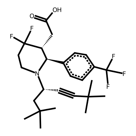 CC(C)(C)C#C[C@H](CC(C)(C)C)N1CCC(F)(F)[C@H](CC(=O)O)[C@H]1c1ccc(C(F)(F)F)cc1